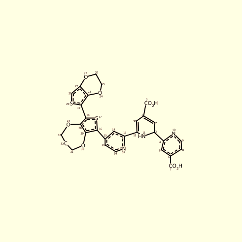 O=C(O)C1=CC(c2cc(C(=O)O)ccn2)NC(c2cc(-c3sc(-c4scc5c4OCCO5)c4c3OCCCO4)ccn2)=C1